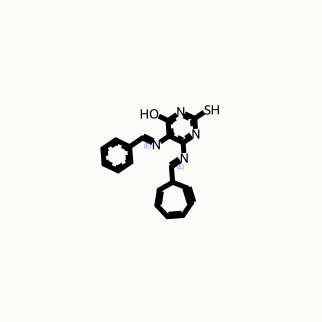 Oc1nc(S)nc(/N=C/C2C#CC=CC=C2)c1/N=C/c1ccccc1